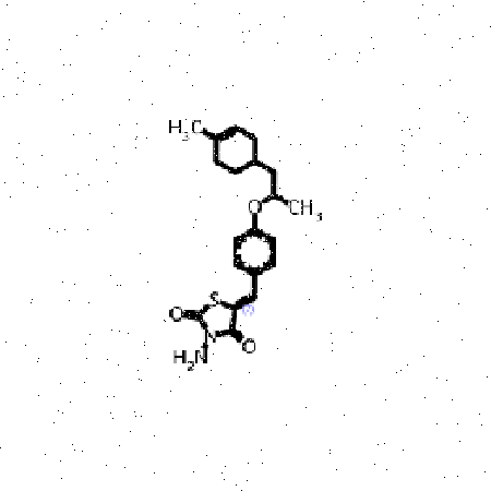 CC1=CCC(CC(C)Oc2ccc(/C=C3\SC(=O)N(N)C3=O)cc2)CC1